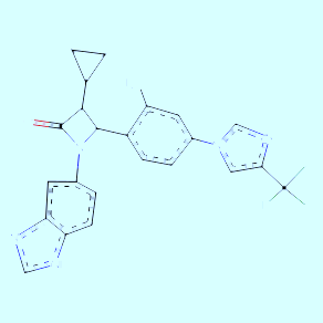 Cc1cc(-n2cnc(C(F)(F)F)c2)ccc1C1C(C2CC2)C(=O)N1c1ccc2[nH]cnc2c1